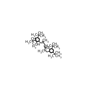 CN(CCCN(C)Cc1cc(C(C)(C)C)cc(C(C)(C)C)c1O)Cc1cc(C(C)(C)C)cc(C(C)(C)C)c1O